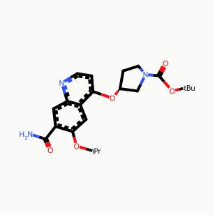 CC(C)Oc1cc2c(O[C@H]3CCN(C(=O)OC(C)(C)C)C3)ccnc2cc1C(N)=O